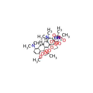 COc1ccc(N(C)C)c2c1C1(OCCO1)C1=C(OC(C)=O)[C@@]3(OC(C)=O)[C@@H](C[C@@H]1C2)[C@H](N(C)C)C(OC(C)=O)=C(C(=O)NC(C)=O)C31OCCO1